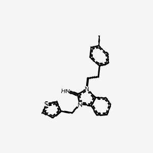 Cc1ccc(CCn2c(=N)n(Cc3ccsc3)c3ccccc32)cc1